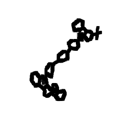 CC(C)(C)c1ccc2c(c1)c1ccccc1n2-c1ccc(-c2ccc(-c3ccc(-n4c5ccccc5c5ccc6c7ccccc7oc6c54)cc3)cc2)cc1